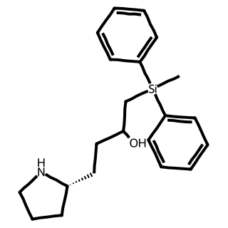 C[Si](CC(O)CC[C@@H]1CCCN1)(c1ccccc1)c1ccccc1